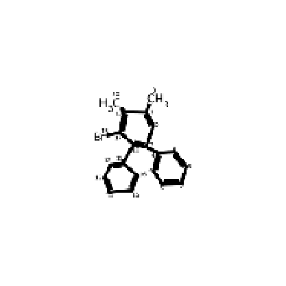 Cc1cc(-c2ccccc2)c(-c2ccccc2)c(Br)c1C